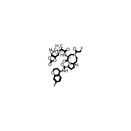 Cc1oc(=O)oc1CN(C)[C@@H](C)C(=O)N[C@H]1CN(C(=O)CF)CC[C@H]2CC[C@@H](C(=O)N[C@@H]3CCOc4cc(F)ccc43)N2C1=O